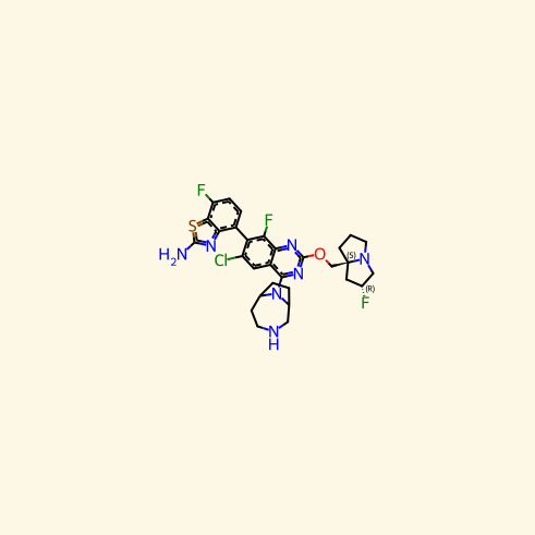 Nc1nc2c(-c3c(Cl)cc4c(N5C6CCNCC5CC6)nc(OC[C@@]56CCCN5C[C@H](F)C6)nc4c3F)ccc(F)c2s1